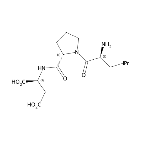 CC(C)C[C@H](N)C(=O)N1CCC[C@H]1C(=O)N[C@@H](CC(=O)O)C(=O)O